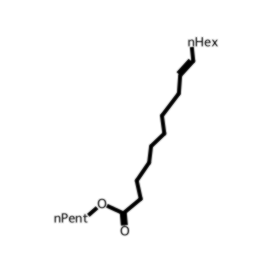 CCCCCCC=CCCCCCCCC(=O)OCCCCC